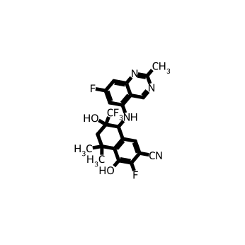 Cc1ncc2c(NC3c4cc(C#N)c(F)c(O)c4C(C)(C)CC3(O)C(F)(F)F)cc(F)cc2n1